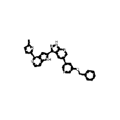 Cc1ccc(-c2nccc3[nH]c(-c4n[nH]c5ncc(-c6cncc(OCc7ccccc7)c6)cc45)cc23)s1